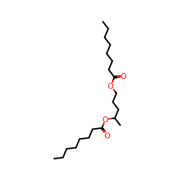 CCCCCCCC(=O)OCCCC(C)OC(=O)CCCCCCC